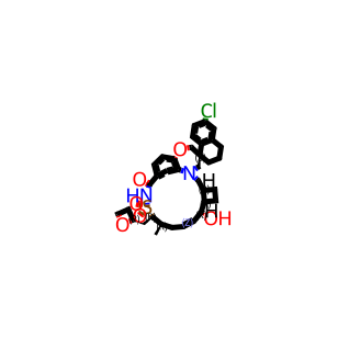 C[C@@H]1C/C=C\[C@H](O)[C@@H]2CC[C@H]2CN2C[C@@]3(CCCc4cc(Cl)ccc43)COc3ccc(cc32)C(=O)NS(=O)(=O)[C@@H]1C[C@H]1CCO1